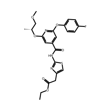 CCOC(=O)Cc1csc(NC(=O)c2cc(Oc3ccc(F)cc3)nc(O[C@H](C)COC)c2)n1